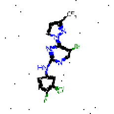 Fc1ccc(Nc2ncc(Br)c(-n3ccc(C(F)(F)F)n3)n2)cc1Cl